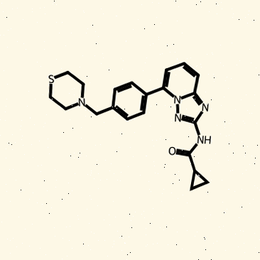 O=C(Nc1nc2cccc(-c3ccc(CN4CCSCC4)cc3)n2n1)C1CC1